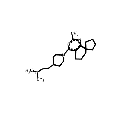 CN(C)CCC1CCN(c2nc(N)nc3c2CCCC32CCCC2)CC1